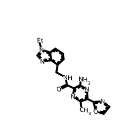 CCn1cnc2c(CNC(=O)c3nc(C)c(-c4ncco4)nc3N)cccc21